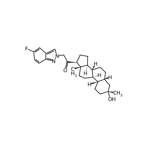 C[C@@]1(O)CC[C@H]2[C@H](CC[C@@H]3[C@@H]2CC[C@]2(C)[C@@H](C(=O)Cn4cc5cc(F)ccc5n4)CC[C@@H]32)C1